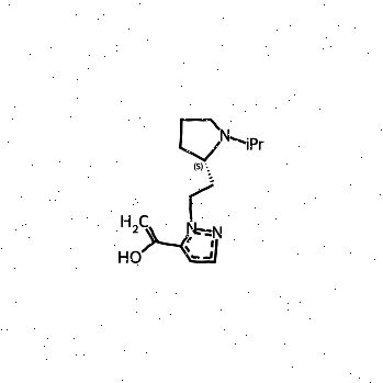 C=C(O)c1ccnn1CC[C@@H]1CCCN1C(C)C